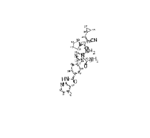 Cc1ccnc(NC(=O)c2ccc(-c3nc([C@@H]4CCCN4C(=O)C(C#N)=CC4CC4)n(N)c3C(N)=O)cc2)c1